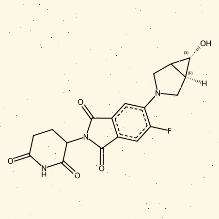 O=C1CCC(N2C(=O)c3cc(F)c(N4CC5[C@H](O)[C@H]5C4)cc3C2=O)C(=O)N1